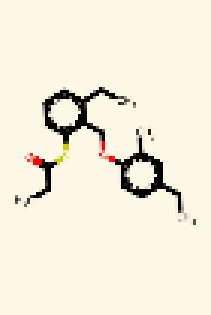 CCC(=O)Sc1cccc(CC)c1COc1ccc(CC)cc1C